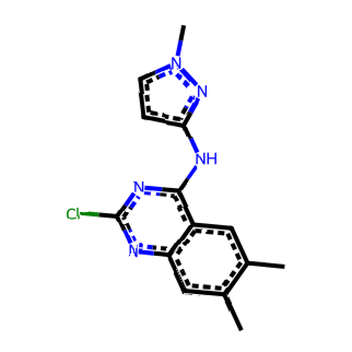 Cc1cc2nc(Cl)nc(Nc3ccn(C)n3)c2cc1C